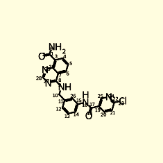 NC(=O)c1cccc2c(NCc3cccc(NC(=O)c4ccc(Cl)nc4)c3)ncnc12